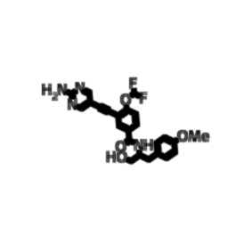 COc1ccc(CC(CO)NC(=O)c2ccc(OC(F)F)c(C#Cc3cnc(N)nc3)c2)cc1